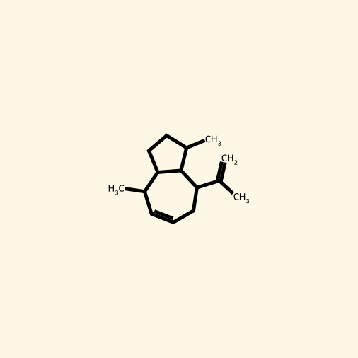 C=C(C)C1CC=CC(C)C2CCC(C)C12